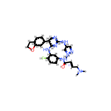 CN(C)C/C=C/C(=O)Nc1ccc(F)c(Nc2nc(Nc3cnn(C)c3)ncc2-c2ccc3c(c2)OCC3)c1